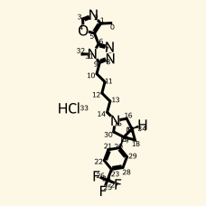 Cc1ncoc1-c1nnc(CCCCCN2C[C@@H]3C[C@]3(c3ccc(C(F)(F)F)cc3)C2)n1C.Cl